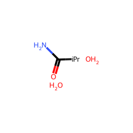 CC(C)C(N)=O.O.O